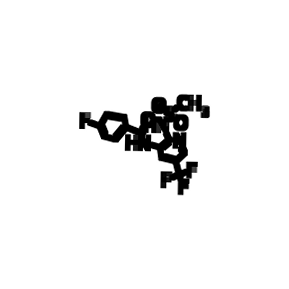 CS(=O)(=O)Nc1ncc(C(F)(F)F)cc1NC(=O)c1ccc(F)cc1